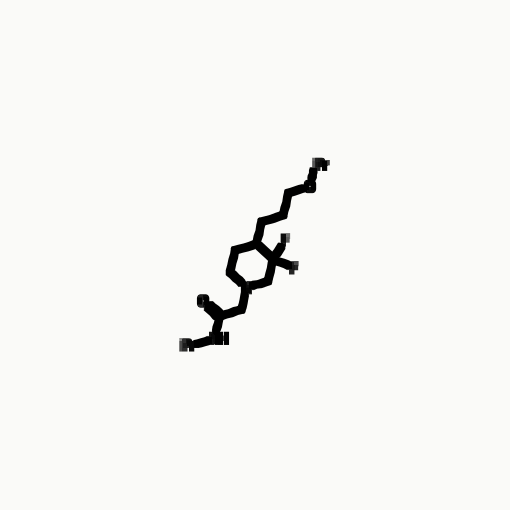 CC(C)NC(=O)CN1CCC(CCCOC(C)C)C(F)(F)C1